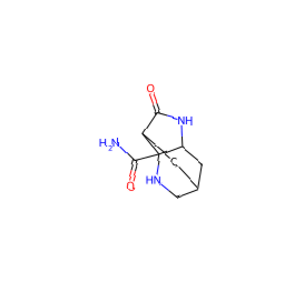 NC(=O)C12NCC3CC1NC(=O)C2C3